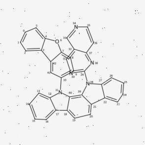 c1ccc2c(c1)oc1ccc(-n3c4ccccc4c4ccc5c6ccccc6n(-c6ncc7cnccc7n6)c5c43)cc12